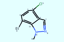 CCc1ccc(Cl)c2cnn(C)c12